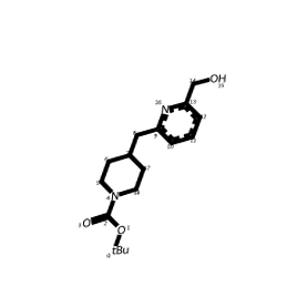 CC(C)(C)OC(=O)N1CCC(Cc2cccc(CO)n2)CC1